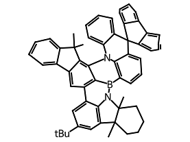 CC(C)(C)c1cc2c3c(c1)C1(C)CCCCC1(C)N3B1c3cccc4c3N(c3ccccc3C43c4ccccc4-c4ccccc43)c3c1c-2cc1c3C(C)(C)c2ccccc2-1